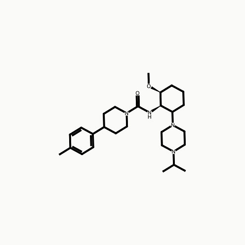 CO[C@H]1CCCC(N2CCN(C(C)C)CC2)[C@H]1NC(=O)N1CCC(c2ccc(C)cc2)CC1